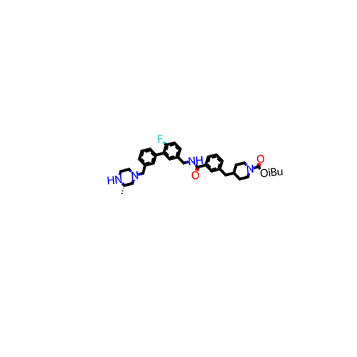 CC(C)COC(=O)N1CCC(Cc2cccc(C(=O)NCc3ccc(F)c(-c4cccc(CN5CCN[C@@H](C)C5)c4)c3)c2)CC1